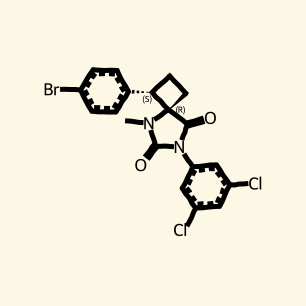 CN1C(=O)N(c2cc(Cl)cc(Cl)c2)C(=O)[C@]12CC[C@H]2c1ccc(Br)cc1